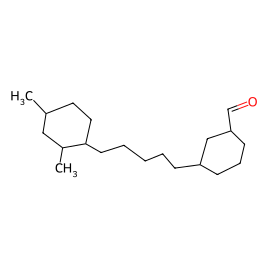 CC1CCC(CCCCCC2CCCC(C=O)C2)C(C)C1